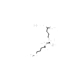 N=C(NCCCC(N)C(=O)O)NC(=O)CCCO[N+](=O)[O-]